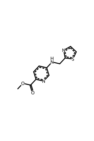 COC(=O)c1ccc(NCc2nccs2)cn1